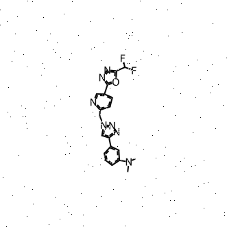 CN(C)c1cccc(-c2cn(Cc3ccc(-c4nnc(C(F)F)o4)cn3)nn2)c1